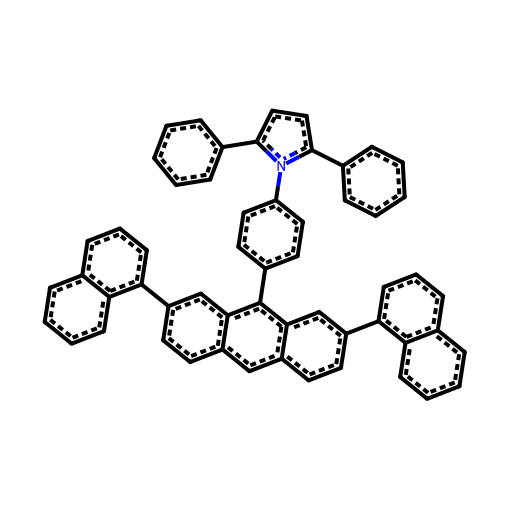 c1ccc(-c2ccc(-c3ccccc3)n2-c2ccc(-c3c4cc(-c5cccc6ccccc56)ccc4cc4ccc(-c5cccc6ccccc56)cc34)cc2)cc1